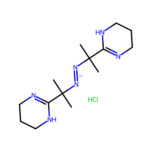 CC(C)(/N=N/C(C)(C)C1=NCCCN1)C1=NCCCN1.Cl